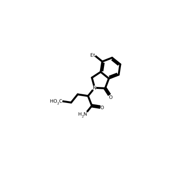 CCc1cccc2c1CN(C(CCC(=O)O)C(N)=O)C2=O